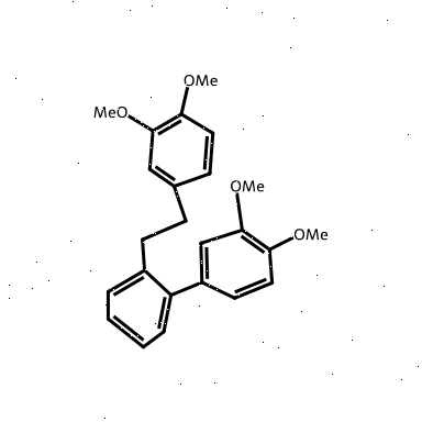 COc1ccc(CCc2ccccc2-c2ccc(OC)c(OC)c2)cc1OC